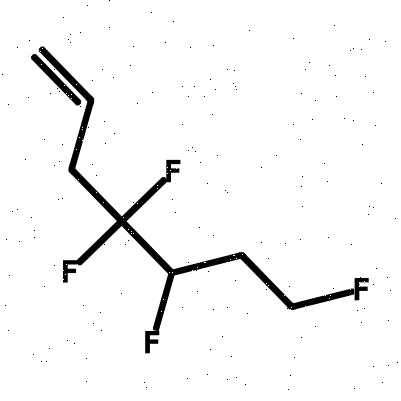 C=CCC(F)(F)C(F)CCF